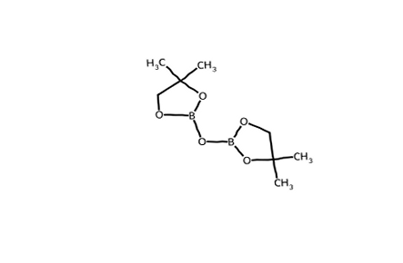 CC1(C)COB(OB2OCC(C)(C)O2)O1